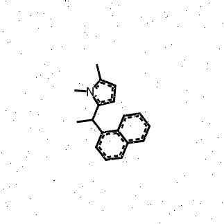 Cc1ccc(C(C)c2cccc3ccccc23)n1C